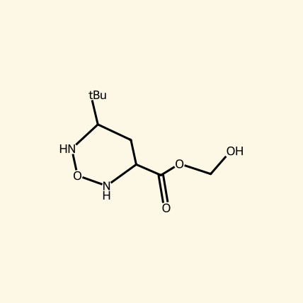 CC(C)(C)C1CC(C(=O)OCO)NON1